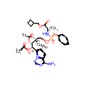 CCC(=O)O[C@@H](c1ccc2c(N)ncnn12)[C@H](OC(=O)CC)[C@@](C#N)(COP(=O)(N[C@@H](C)C(=O)OCC1CCC1)Oc1ccccc1)OC